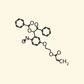 C=CC(=O)OCCOc1ccc(N=O)c(C(OC(=O)c2ccccc2)C(=O)c2ccccc2)c1